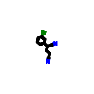 N#CCCC(C#N)c1cccc(Br)c1